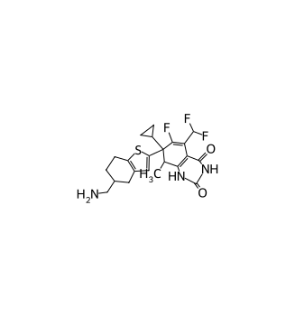 CC1c2[nH]c(=O)[nH]c(=O)c2C(C(F)F)=C(F)C1(c1cc2c(s1)CCC(CN)C2)C1CC1